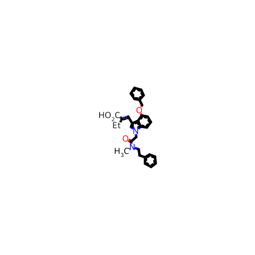 CC/C(=C\c1cn(CC(=O)N(C)CCc2ccccc2)c2cccc(OCc3ccccc3)c12)C(=O)O